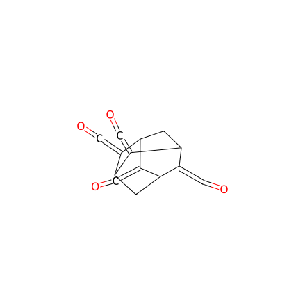 O=C=C1C2CC3C(=C=O)C1CC(C2=C=O)C3=C=O